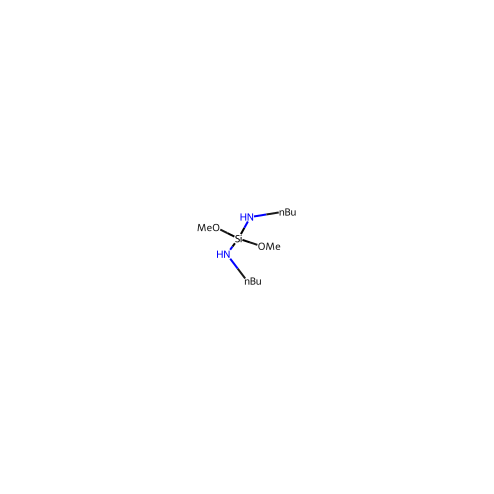 CCCCN[Si](NCCCC)(OC)OC